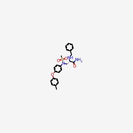 Cc1ccc(Oc2ccc(N(C[C@H](NCc3ccccc3)C(N)=O)S(C)(=O)=O)cc2)cc1